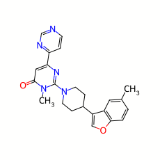 Cc1ccc2occ(C3CCN(c4nc(-c5ccncn5)cc(=O)n4C)CC3)c2c1